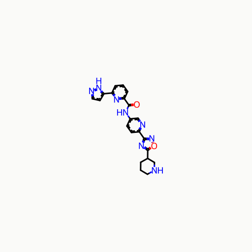 O=C(Nc1ccc(-c2noc(C3CCCNC3)n2)nc1)c1cccc(-c2ccn[nH]2)n1